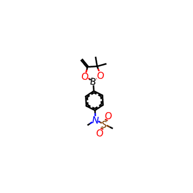 C=C1OB(c2ccc(N(C)S(C)(=O)=O)cc2)OC1(C)C